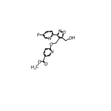 COC(=O)c1ccc(OCc2c(-c3ccc(F)cn3)noc2CO)nc1